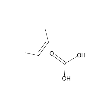 C/C=C\C.O=C(O)O